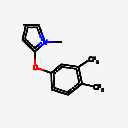 Cn1c[c]cc1Oc1ccc(C(F)(F)F)c(C(F)(F)F)c1